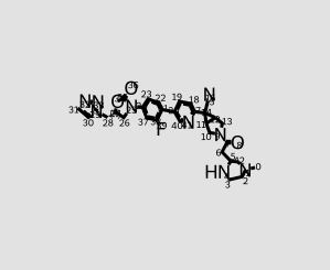 CN1CCNC(CC(=O)N2CC3C(C2)C3(C#N)c2ccc(-c3ccc(N4C[C@H](Cn5ccnn5)OC4=O)cc3F)cn2)C1